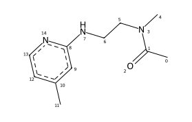 CC(=O)N(C)CCNc1cc(C)ccn1